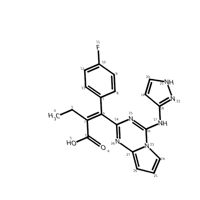 CCC(C(=O)O)=C(c1ccc(F)cc1)c1nc(Nc2cc[nH]n2)n2cccc2n1